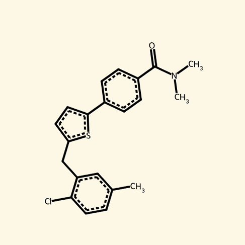 Cc1ccc(Cl)c(Cc2ccc(-c3ccc(C(=O)N(C)C)cc3)s2)c1